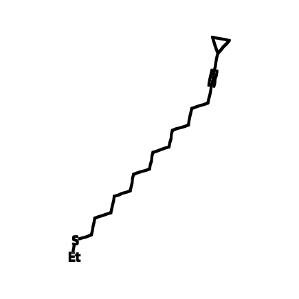 CCSCCCCCCCCCCCCCC#CC1CC1